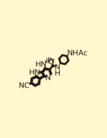 CC(=O)N[C@H]1CC[C@H](NC(=O)c2cnc3c([nH]c4cc(C#N)ccc43)c2NC(C)C)CC1